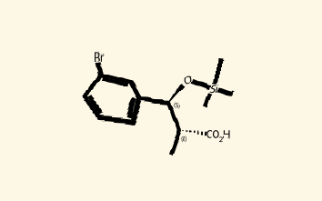 C[C@@H](C(=O)O)[C@H](O[Si](C)(C)C)c1cccc(Br)c1